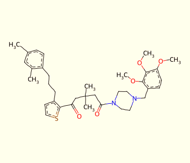 COc1ccc(CN2CCN(C(=O)CC(C)(C)CC(=O)c3sccc3CCCc3ccc(C)cc3C)CC2)c(OC)c1OC